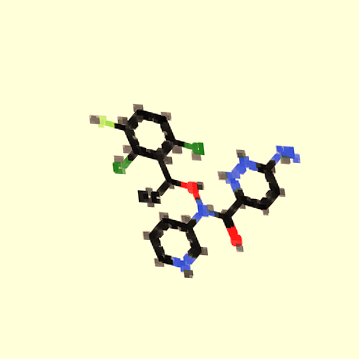 CC(ON(C(=O)c1ccc(N)nn1)c1cccnc1)c1c(Cl)ccc(F)c1Cl